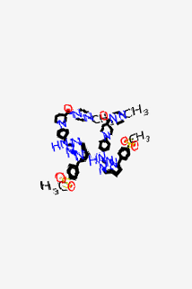 CN1CCN(C(=O)C2CCCN(c3ccc(Nc4ncc5ccc(-c6ccc(S(C)(=O)=O)cc6)n5n4)cc3)C2)CC1.CN1CCN(C(=O)C2CCN(c3ccc(Nc4ncc5ccc(-c6ccc(S(C)(=O)=O)cc6)n5n4)cc3)CC2)CC1